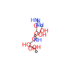 O=C(CCC/C=C\C[C@@H]1[C@@H](/C=C/[C@@H](O)CCc2ccccc2)[C@H](O)C[C@@H]1Oc1cccc(C2CC2NC(=O)CCC/C=C\C[C@@H]2[C@@H](/C=C/[C@@H](O)CCc3ccccc3)[C@H](O)C[C@@H]2O)c1)NCCc1c[nH]cn1